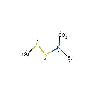 CCCCSSN(CC)C(=O)O